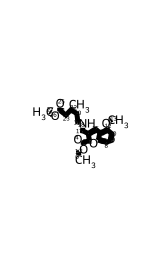 CCOC(=O)C1Oc2cccc(OC)c2C=C1CNCC[C@H](C)CC(=O)OC